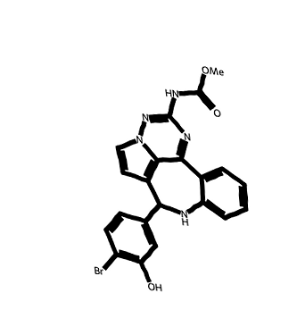 COC(=O)Nc1nc2c3c(ccn3n1)C(c1ccc(Br)c(O)c1)Nc1ccccc1-2